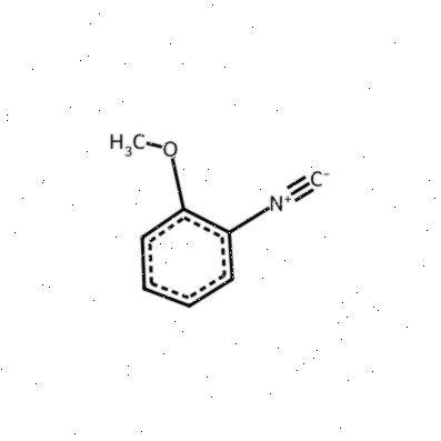 [C-]#[N+]c1ccccc1OC